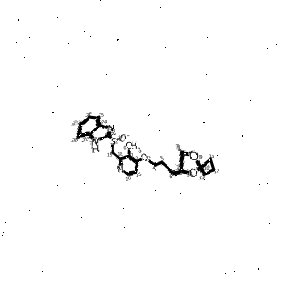 Cc1c(OCCCC2COC3(CCC3)O2)ccnc1C[S+]([O-])c1nc2ccccc2[nH]1